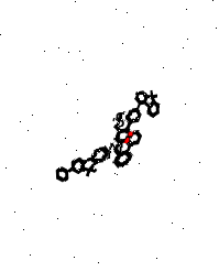 CC1(C)c2cc(-c3ccccc3)ccc2-c2ccc(N(c3ccc4c(c3)CS(C)(C)c3cc(-c5cccc6c5-c5ccccc5C6(C)C)ccc3-4)c3ccccc3-c3ccccc3)cc21